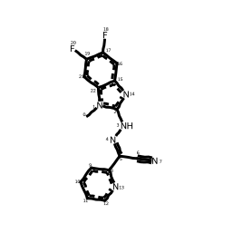 Cn1c(N/N=C(\C#N)c2ccccn2)nc2cc(F)c(F)cc21